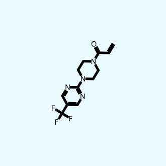 C=CC(=O)N1CCN(c2ncc(C(F)(F)F)cn2)CC1